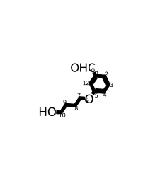 O=Cc1cccc(OCCCCO)c1